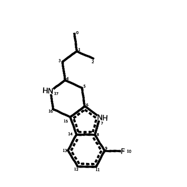 CC(C)CC1Cc2[nH]c3c(F)cccc3c2CN1